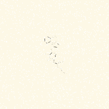 CCCC1=C(Cc2ccnn2-c2ncccc2C#N)N=CN(/N=C(\N)CCOCC)C1I